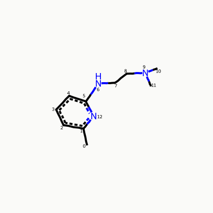 Cc1cccc(NCCN(C)C)n1